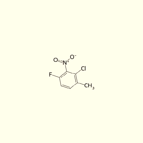 Cc1ccc(F)c([N+](=O)[O-])c1Cl